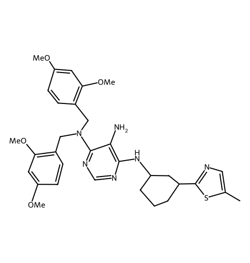 COc1ccc(CN(Cc2ccc(OC)cc2OC)c2ncnc(NC3CCCC(c4ncc(C)s4)C3)c2N)c(OC)c1